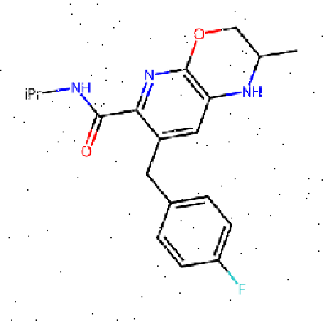 CC(C)NC(=O)c1nc2c(cc1Cc1ccc(F)cc1)NC(C)CO2